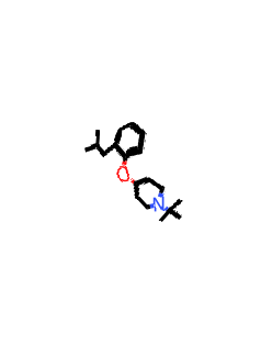 CC(C)Cc1ccccc1OC1CCN(C(C)(C)C)CC1